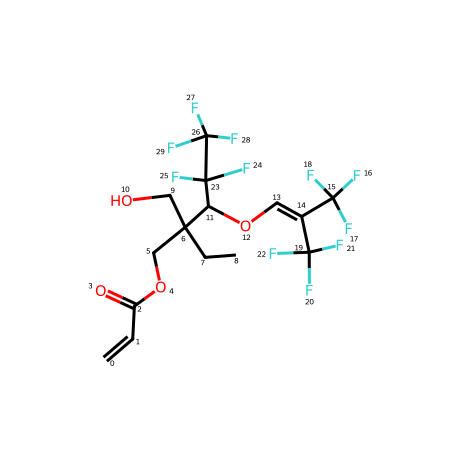 C=CC(=O)OCC(CC)(CO)C(OC=C(C(F)(F)F)C(F)(F)F)C(F)(F)C(F)(F)F